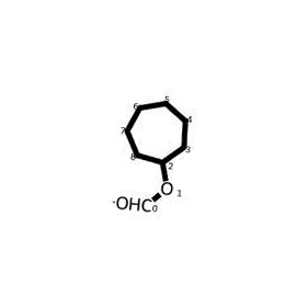 O=[C]OC1CCCCCC1